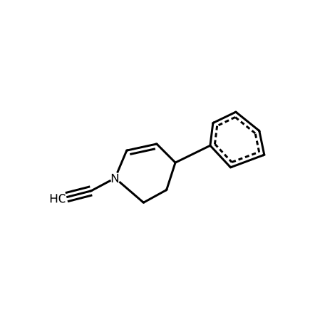 C#CN1C=CC(c2ccccc2)CC1